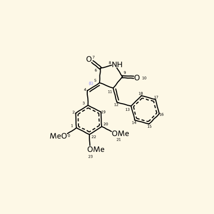 COc1cc(/C=C2/C(=O)NC(=O)C2=Cc2ccccc2)cc(OC)c1OC